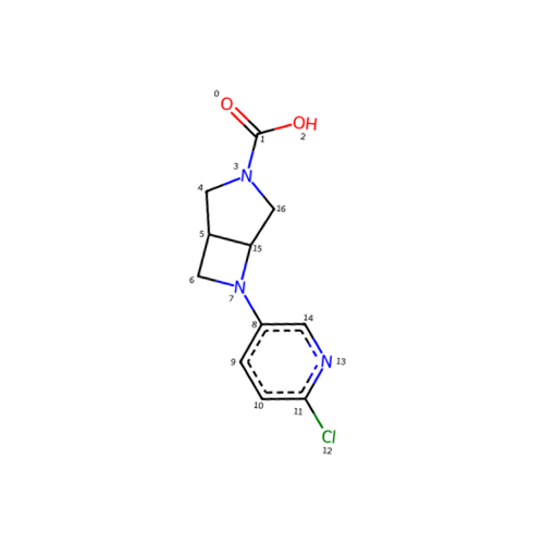 O=C(O)N1CC2CN(c3ccc(Cl)nc3)C2C1